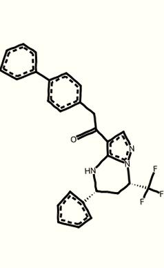 O=C(Cc1ccc(-c2ccccc2)cc1)c1cnn2c1N[C@@H](c1ccccc1)C[C@H]2C(F)(F)F